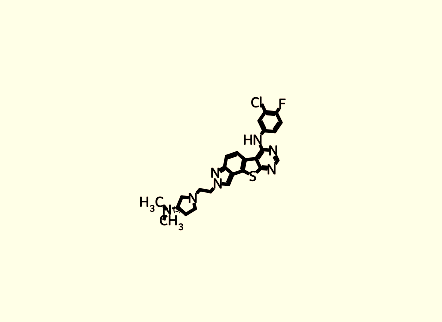 CN(C)[C@H]1CCN(CCn2cc3c(ccc4c3sc3ncnc(Nc5ccc(F)c(Cl)c5)c34)n2)C1